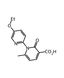 CCOc1ccc(-n2c(C)ccc(C(=O)O)c2=O)nc1